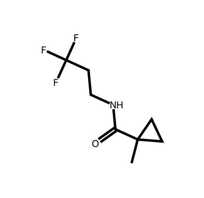 CC1(C(=O)NCCC(F)(F)F)CC1